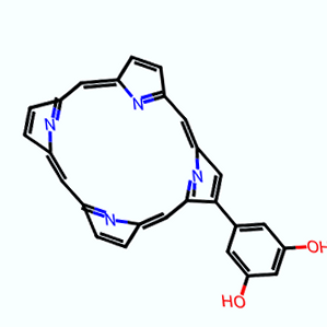 Oc1cc(O)cc(C2=CC3=CC4=NC(=CC5=NC(=CC6=NC(=CC2=N3)C=C6)C=C5)C=C4)c1